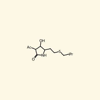 CC(=O)C1C(=O)NC(CCSCC(C)C)C1O